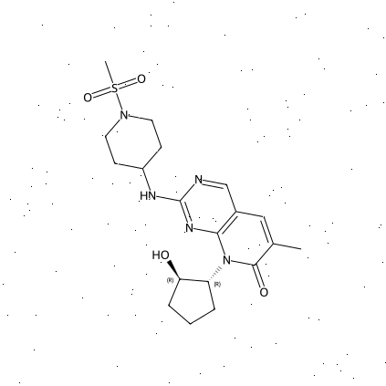 Cc1cc2cnc(NC3CCN(S(C)(=O)=O)CC3)nc2n([C@@H]2CCC[C@H]2O)c1=O